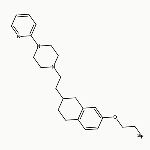 [18F]CCOc1ccc2c(c1)CC(CCN1CCN(c3ccccn3)CC1)CC2